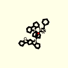 c1ccc(-c2nnc(-c3ccccc3)n2-c2cccc3c4ccccc4n(-c4cccc(-n5c6ccccc6c6cc7c(cc65)oc5ccccc57)c4)c23)cc1